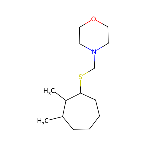 CC1CCCCC(SCN2CCOCC2)C1C